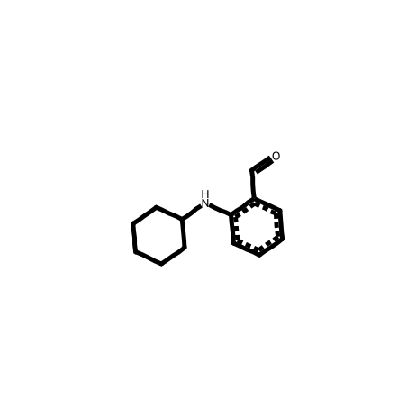 O=Cc1ccccc1NC1CCCCC1